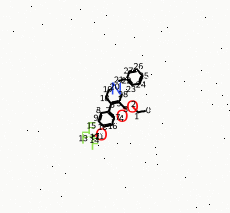 CCOC(=O)C1=C(c2ccc(OC(F)(F)F)cc2)CCN(Cc2ccccc2)C1